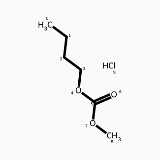 CCCCOC(=O)OC.Cl